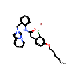 CCCCCCCCCCCCCCOc1ccc(CC(=O)Nc2ccccc2Cn2cc3cccc[n+]3c2)c(Cl)c1.[Br-]